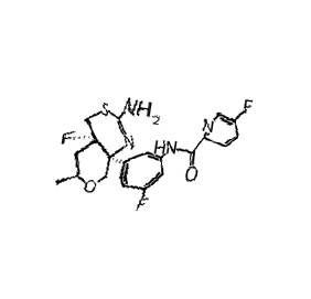 C[C@H]1C[C@@]2(F)CSC(N)=N[C@@]2(c2cc(F)cc(NC(=O)c3ccc(F)cn3)c2)CO1